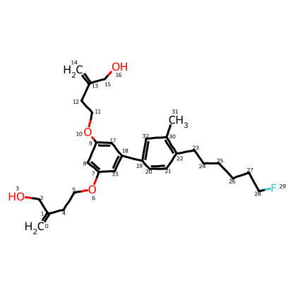 C=C(CO)CCOc1cc(OCCC(=C)CO)cc(-c2ccc(CCCCCCF)c(C)c2)c1